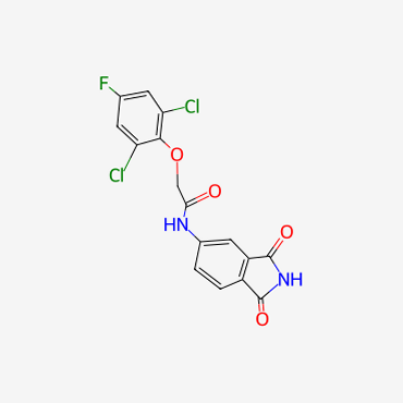 O=C(COc1c(Cl)cc(F)cc1Cl)Nc1ccc2c(c1)C(=O)NC2=O